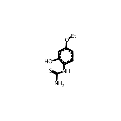 CCOc1ccc(NC(N)=S)c(O)c1